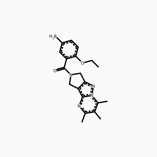 Bc1ccc(OCC)c(C(=O)N2Cc3nn4c(C)c(C)c(C)nc4c3C2)c1